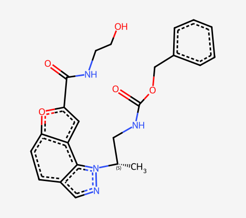 C[C@@H](CNC(=O)OCc1ccccc1)n1ncc2ccc3oc(C(=O)NCCO)cc3c21